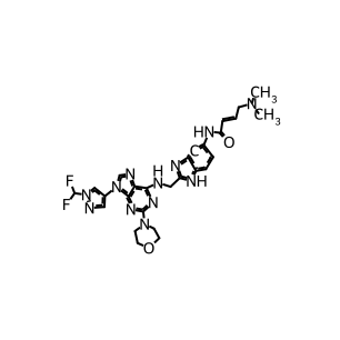 CN(C)C/C=C/C(=O)Nc1ccc2[nH]c(CNc3nc(N4CCOCC4)nc4c3ncn4-c3cnn(C(F)F)c3)nc2c1